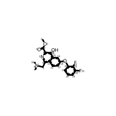 COC(=O)c1nc(CN(C)C)c2ccc(Oc3cccc(F)c3F)cc2c1O